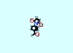 CC(=O)C12CCC(N3C(=O)C=CC3=O)(CC1)C2